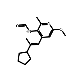 COc1cc(/C=C(\C)C2CCCC2)c(NC=O)c(C)n1